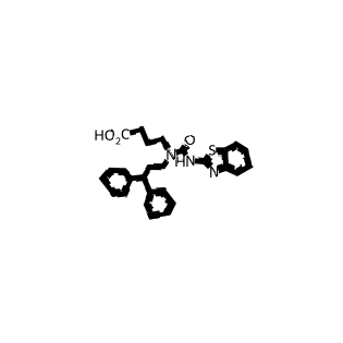 O=C(O)CCCN(CCC(c1ccccc1)c1ccccc1)C(=O)Nc1nc2ccccc2s1